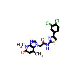 Cc1cc(=O)n(C)c2ncn(CC(=O)Nc3nc(-c4ccc(Cl)c(Cl)c4)cs3)c12